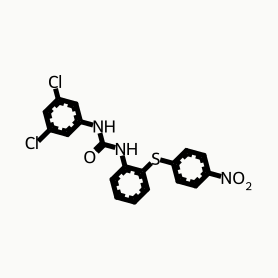 O=C(Nc1cc(Cl)cc(Cl)c1)Nc1ccccc1Sc1ccc([N+](=O)[O-])cc1